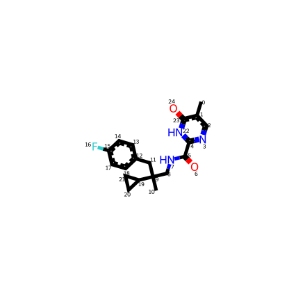 Cc1cnc(C(=O)NCC(C)(Cc2ccc(F)cc2)C2CC2)[nH]c1=O